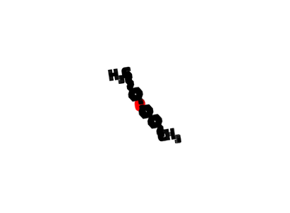 CCCCC[C@H]1CC[C@H](COC2C=CC([C@H]3CC[C@H](CCC)CC3)CC2)CC1